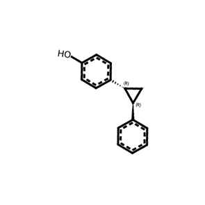 Oc1ccc([C@@H]2C[C@H]2c2ccccc2)cc1